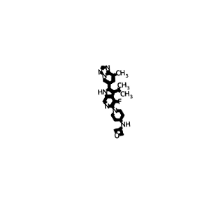 Cc1cc(-c2[nH]c3cnc(N4CCC(NC5COC5)CC4)c(F)c3c2C(C)C)cn2ncnc12